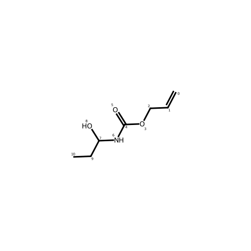 C=CCOC(=O)NC(O)CC